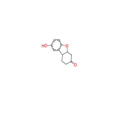 O=C1CCC2c3cc(O)ccc3OC2C1